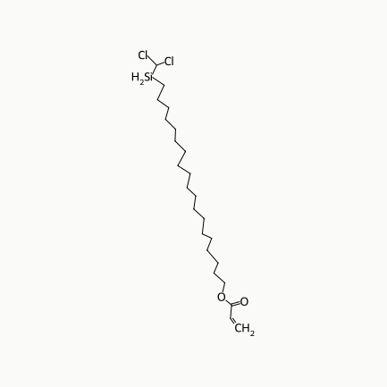 C=CC(=O)OCCCCCCCCCCCCCCCCCCC[SiH2]C(Cl)Cl